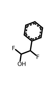 OC(F)C(F)c1ccccc1